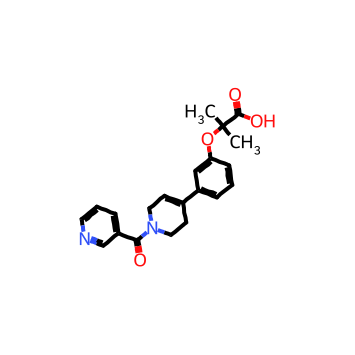 CC(C)(Oc1cccc(C2=CCN(C(=O)c3cccnc3)CC2)c1)C(=O)O